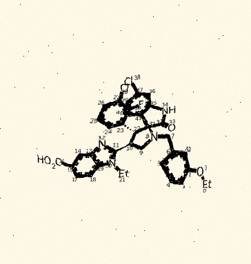 CCOc1cccc(CN2C[C@@H](c3nc4cc(C(=O)O)ccc4n3CC)[C@H](c3cccc(Cl)c3F)[C@]23C(=O)Nc2cc(Cl)ccc23)c1